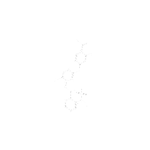 Cc1cc(Nc2ncc(C(F)(F)F)c(NCc3ncccc3N(C)S(C)(=O)=O)n2)ccc1C(N)=O